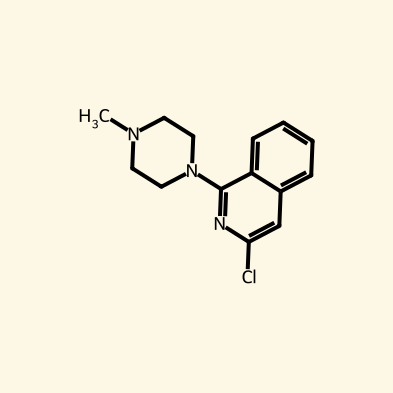 CN1CCN(c2nc(Cl)cc3ccccc23)CC1